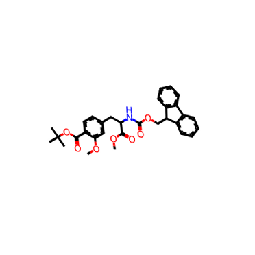 COC(=O)C(Cc1ccc(C(=O)OC(C)(C)C)c(OC)c1)NC(=O)OCC1c2ccccc2-c2ccccc21